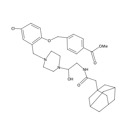 COC(=O)c1ccc(COc2ccc(Cl)cc2CN2CCN(C(O)CNC(=O)CC34CC5CC(CC(C5)C3)C4)CC2)cc1